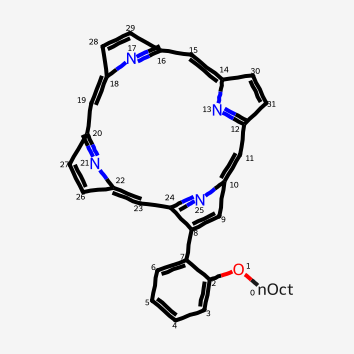 CCCCCCCCOc1ccccc1C1=CC2=CC3=NC(=CC4=NC(=CC5=NC(=CC1=N2)C=C5)C=C4)C=C3